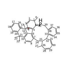 CC1C=CC=C2c3c(ccc4c3C(C)(C)c3ccccc3C4(C)C)CC3C(C)C=CC=CC3c3ccccc3CPC21